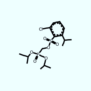 CC(C)OP(=O)(COS(=O)(=O)c1c(Cl)cccc1C(C)C)OC(C)C